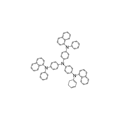 C1=CCCC(N(c2ccc(N(c3ccc(N(c4ccccc4)c4cccc5ccccc45)cc3)c3ccc(N(c4ccccc4)c4cccc5ccccc45)cc3)cc2)c2cccc3ccccc23)=C1